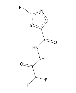 O=C(NNC(=O)C(F)F)c1cnc(Br)s1